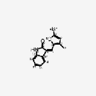 Cc1cc(Br)oc1/C=C1\C(=O)Nc2ccccc21